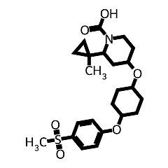 CC1(C2CC(OC3CCC(Oc4ccc(S(C)(=O)=O)cc4)CC3)CCN2C(=O)O)CC1